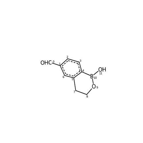 O=Cc1ccc2c(c1)CCOB2O